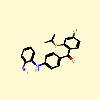 CC(C)Sc1cc(Cl)ccc1C(=O)c1ccc(Nc2ccccc2N)cc1